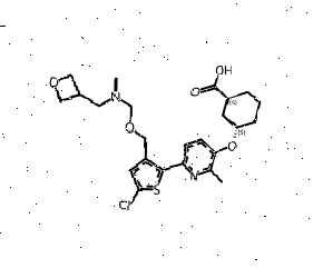 Cc1nc(-c2sc(Cl)cc2COCN(C)CC2COC2)ccc1O[C@H]1CCC[C@H](C(=O)O)C1